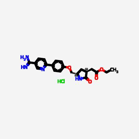 CCOC(=O)C[C@@H]1C[C@@H](COc2ccc(-c3ccc(C(=N)N)cn3)cc2)NC1=O.Cl